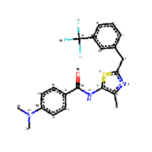 Cc1nc(Cc2cccc(C(F)(F)F)c2)sc1NC(=O)c1ccc(N(C)C)cc1